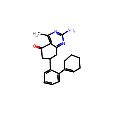 Cc1nc(N)nc2c1C(=O)CC(c1ccccc1C1=CCCCC1)C2